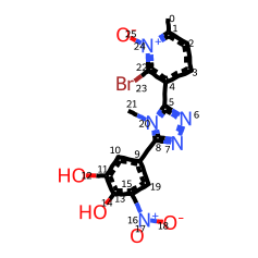 Cc1ccc(-c2nnc(-c3cc(O)c(O)c([N+](=O)[O-])c3)n2C)c(Br)[n+]1[O-]